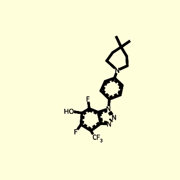 CC1(C)CCN(c2ccc(-n3nnc4c(C(F)(F)F)c(F)c(O)c(F)c43)cc2)CC1